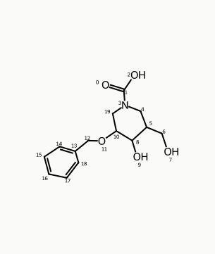 O=C(O)N1CC(CO)C(O)C(OCc2ccccc2)C1